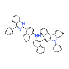 c1ccc(-c2nc(-c3ccc(Nc4ccc5ccccc5c4-c4cc5c(c6ccccc46)c4ccccc4n5-c4ccccc4)c4ccccc34)nc3ccccc23)cc1